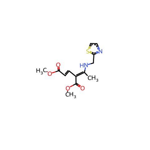 COC(=O)/C=C/C(C(=O)OC)=C(/C)NCc1nccs1